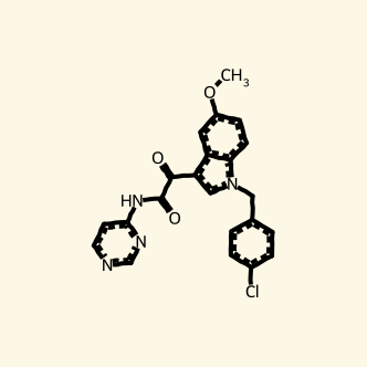 COc1ccc2c(c1)c(C(=O)C(=O)Nc1ccncn1)cn2Cc1ccc(Cl)cc1